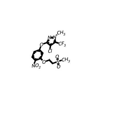 Cn1nc(Oc2ccc([N+](=O)[O-])c(O[CH]CS(C)(=O)=O)c2)c(Cl)c1C(F)(F)F